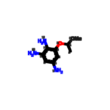 COC(C)Oc1cc(N)cc(N)c1N